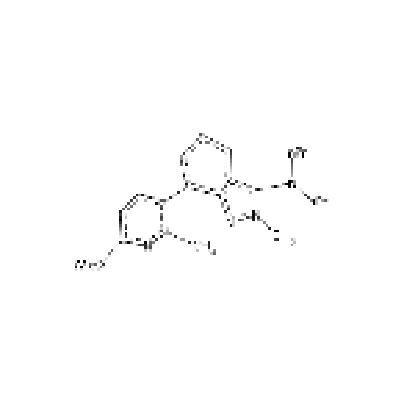 CCCN(CCC)c1c2cccc(-c3ccc(OC)nc3C)c2nn1C